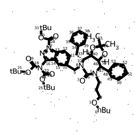 CCCCOCCCN1C(=O)N(Cc2ccc3c(c2)c(N(C(=O)OC(C)(C)C)C(=O)OC(C)(C)C)nn3C(=O)OC(C)(C)C)[C@H](Cc2ccccc2)[C@@H]2OC(C)(C)O[C@H]2C1c1ccccc1